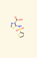 O=C(O)c1ncsc1NS(=O)(=O)c1cccs1